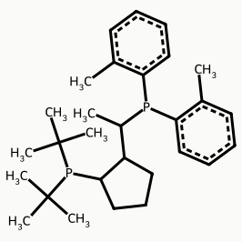 Cc1ccccc1P(c1ccccc1C)C(C)C1CCCC1P(C(C)(C)C)C(C)(C)C